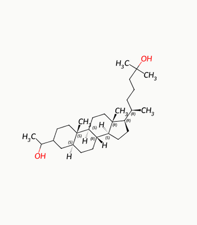 CC(O)C1CC[C@@]2(C)[C@@H](CC[C@@H]3[C@@H]2CC[C@]2(C)[C@@H]([C@H](C)CCCC(C)(C)O)CC[C@@H]32)C1